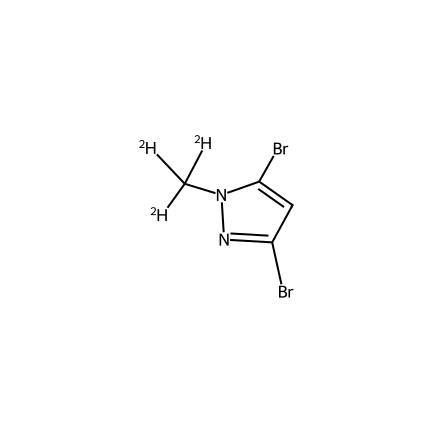 [2H]C([2H])([2H])n1nc(Br)cc1Br